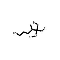 CCOC(OCC)(OCC)C(C)CCCS